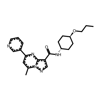 CCCO[C@H]1CC[C@H](NC(=O)c2cnn3c(C)cc(-c4cccnc4)nc23)CC1